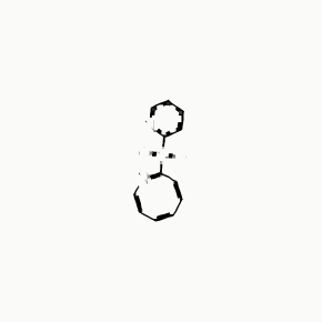 O=S(=O)(C1=NC=CC=CC=C1)c1ccccn1